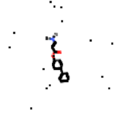 CCN(/C=C/C(=O)Oc1ccc(-c2ccccc2)cc1)CC